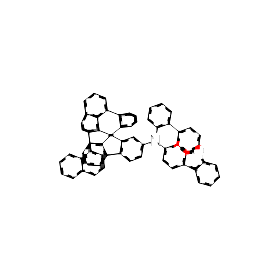 c1ccc(-c2ccccc2N(c2ccc3c(c2)C2(c4ccccc4-3)c3ccccc3-c3cccc4ccc(-c5cccc6ccccc56)c2c34)c2ccc3c(c2)oc2ccccc23)cc1